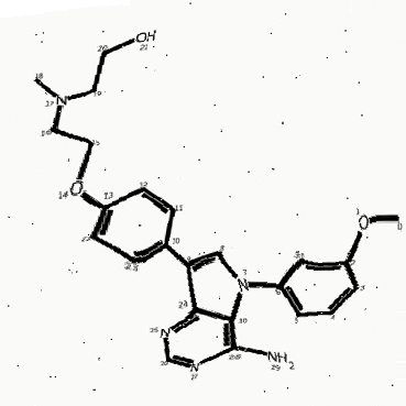 COc1cccc(-n2cc(-c3ccc(OCCN(C)CCO)cc3)c3ncnc(N)c32)c1